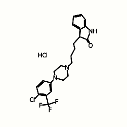 Cl.O=C1Nc2ccccc2C1CCCCN1CCN(c2ccc(Cl)c(C(F)(F)F)c2)CC1